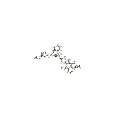 Cc1cccc(C)c1C(=O)N1C=C2CN(CC[C@H](NC(=O)CCCN(C)C)c3ccccc3)CC2C1